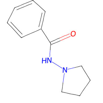 O=C(NN1CCCC1)c1ccccc1